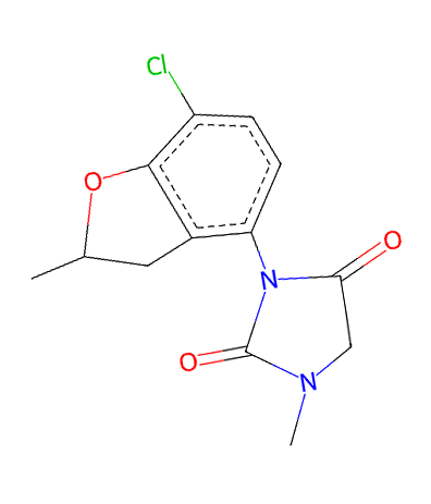 CC1Cc2c(N3C(=O)CN(C)C3=O)ccc(Cl)c2O1